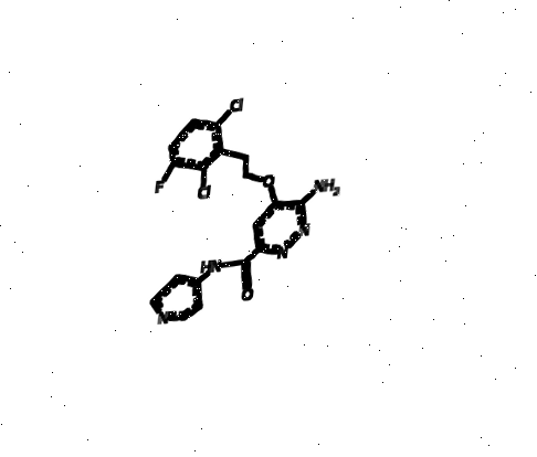 Nc1nnc(C(=O)Nc2ccncc2)cc1OCCc1c(Cl)ccc(F)c1Cl